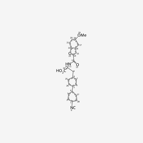 [C-]#[N+]c1ccc(-c2ccc(C[C@H](NC(=O)c3cc4cc(OC)ccc4o3)C(=O)O)cc2)cc1